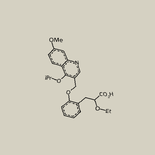 CCOC(Cc1ccccc1OCc1cnc2cc(OC)ccc2c1OC(C)C)C(=O)O